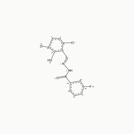 O=C(N/N=C/c1c(Cl)ccc(Cl)c1O)c1cccc(F)c1